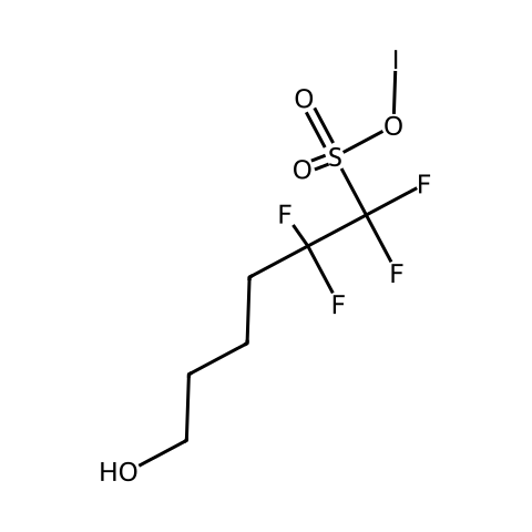 O=S(=O)(OI)C(F)(F)C(F)(F)CCCCO